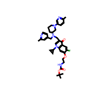 Cc1ccc(N2CCC[C@H](N(Cc3ccnc(C)c3)Cc3cn(C4CC4)c4cc(OCCNC(=O)OC(C)(C)C)c(F)cc4c3=O)C2)cn1